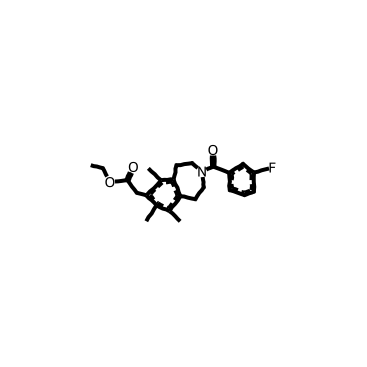 CCOC(=O)Cc1c(C)c(C)c2c(c1C)CCN(C(=O)c1cccc(F)c1)CC2